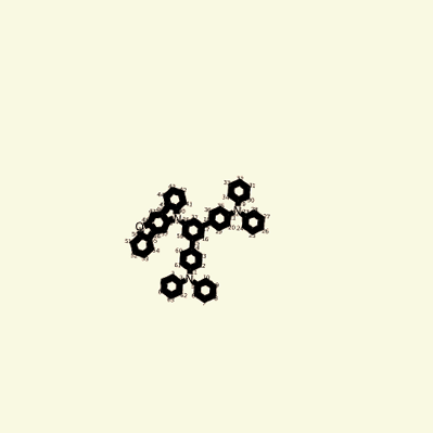 c1ccc(N(c2ccccc2)c2ccc(-c3cc(-c4ccc(N(c5ccccc5)c5ccccc5)cc4)cc(-n4c5ccccc5c5cc6oc7ccccc7c6cc54)c3)cc2)cc1